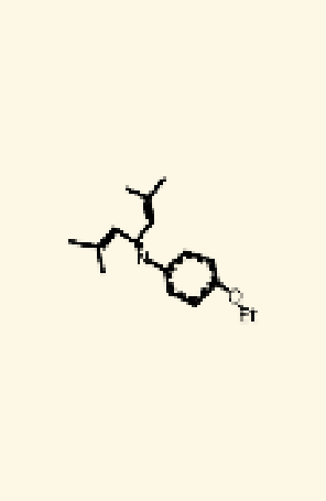 CCOc1ccc(N=C(C=C(C)C)C=C(C)C)cc1